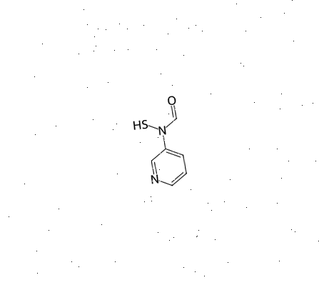 O=CN(S)c1cccnc1